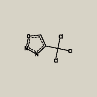 ClC(Cl)(Cl)c1conn1